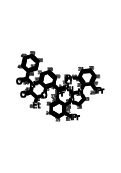 CCC1Oc2c([CH]=[Ru]([Cl])[CH]3N(c4c(C(C)C)cccc4C(C)C)CCN3c3c(C(C)C)cccc3C(C)C)cccc2N(C(=O)c2ccccc2)C1=O